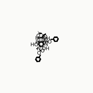 C[C@@H]1C[C@@]2(CO2)[C@]2(O)O[C@H]3[C@H](O[C@@H]2O1)[C@@H](O)[C@H](N(C)C(=O)OCc1ccccc1)[C@H](O)[C@@H]3N(C)C(=O)OCc1ccccc1